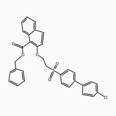 O=C(OCc1ccccc1)c1c(OCCS(=O)(=O)c2ccc(-c3ccc(Cl)cc3)cc2)ccc2ccccc12